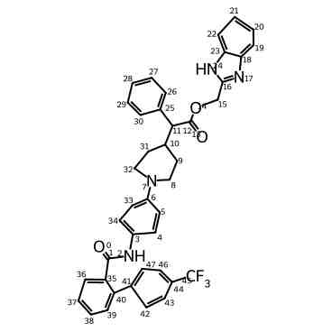 O=C(Nc1ccc(N2CCC(C(C(=O)OCc3nc4ccccc4[nH]3)c3ccccc3)CC2)cc1)c1ccccc1-c1ccc(C(F)(F)F)cc1